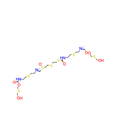 O=C(NCCSCC/N=C/[S+]([O-])CCSCCSC(=O)NCCSCC/N=C\OOCSCO)OCSCO